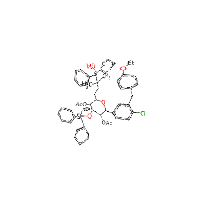 CCOc1ccc(Cc2cc(C3OC(CCC(C)(C)[Si](O)(c4ccccc4)c4ccccc4)C(OC(C)=O)C(O[Si](c4ccccc4)(c4ccccc4)C(C)(C)C)C3OC(C)=O)ccc2Cl)cc1